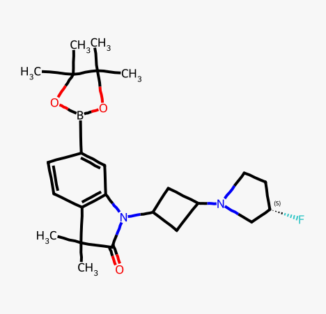 CC1(C)C(=O)N(C2CC(N3CC[C@H](F)C3)C2)c2cc(B3OC(C)(C)C(C)(C)O3)ccc21